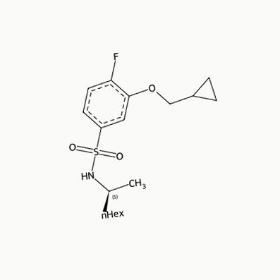 CCCCCC[C@H](C)NS(=O)(=O)c1ccc(F)c(OCC2CC2)c1